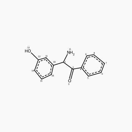 NC(C(=O)c1ccccc1)c1[c]c(O)ccc1